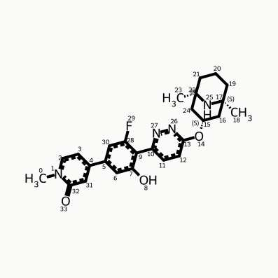 Cn1ccc(-c2cc(O)c(-c3ccc(O[C@H]4C[C@]5(C)CCC[C@](C)(C4)N5)nn3)c(F)c2)cc1=O